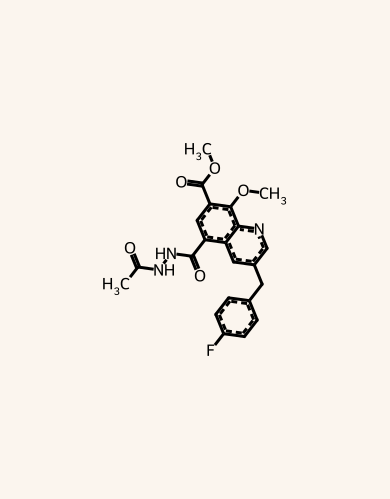 COC(=O)c1cc(C(=O)NNC(C)=O)c2cc(Cc3ccc(F)cc3)cnc2c1OC